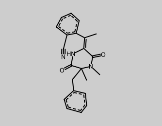 CC(=C1NC(=O)C(C)(Cc2ccccc2)N(C)C1=O)c1ccccc1C#N